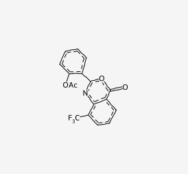 CC(=O)Oc1ccccc1-c1nc2c(C(F)(F)F)cccc2c(=O)o1